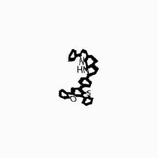 C1=Cc2ccc(-c3ccccc3)nc2C2NC(c3ccc(-c4cc5c6ccccc6oc5c5c4sc4ccccc45)cc3)=CC=C12